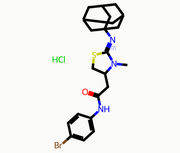 CN1/C(=N/C23CC4CC(CC(C4)C2)C3)SCC1CC(=O)Nc1ccc(Br)cc1.Cl